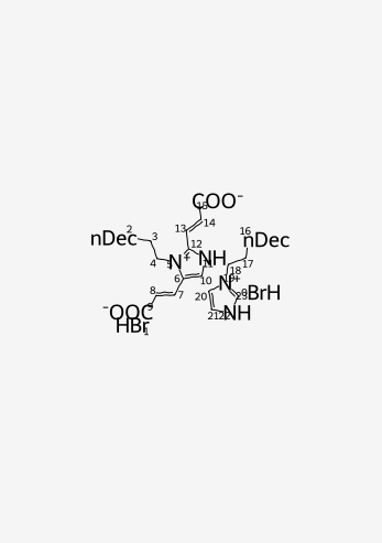 Br.Br.CCCCCCCCCCCC[n+]1c(C=CC(=O)[O-])c[nH]c1C=CC(=O)[O-].CCCCCCCCCCCC[n+]1cc[nH]c1